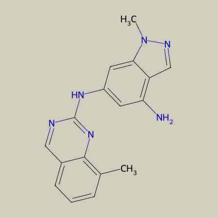 Cc1cccc2cnc(Nc3cc(N)c4cnn(C)c4c3)nc12